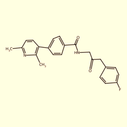 Cc1ccc(-c2ccc(C(=O)NCC(=O)Cc3ccc(F)cc3)cc2)c(C)n1